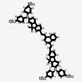 CC(C)(C)c1ccc(N(c2ccc(C(C)(C)C)cc2)c2ccc3c(c2)C(C)(C)c2cc(/C=C/c4ccc(/C=C/c5ccc6c(c5)C(C)(C)c5cc(N(c7ccc(C(C)(C)C)cc7)c7ccc(C(C)(C)C)cc7)ccc5-6)c5ccccc45)ccc2-3)cc1